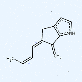 C=C1/C(=C\C=C/C)Cc2cc[nH]c21